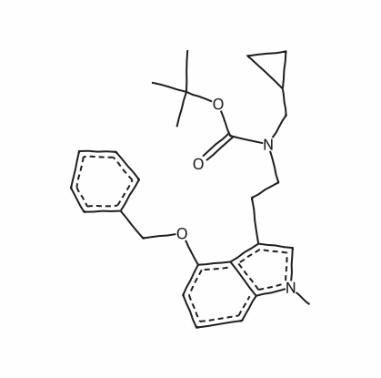 Cn1cc(CCN(CC2CC2)C(=O)OC(C)(C)C)c2c(OCc3ccccc3)cccc21